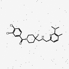 Cc1ccc(CNCC2(F)CCN(C(=O)c3ccc(Cl)c(Cl)c3)CC2)nc1N(C)C